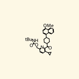 COc1ccc(C2CCC(C(=O)c3nc(COC(=O)NC(C)(C)C)ccc3C3CC3)CC2)c2ccccc12